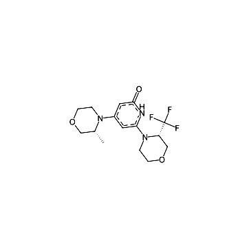 C[C@@H]1COCCN1c1cc(N2CCOC[C@H]2C(F)(F)F)[nH]c(=O)c1